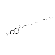 COCCOCCOCCOCCC(=O)c1ccc2[nH]c(C(=O)C(C)(C)C)cc2c1